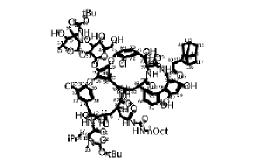 CCCCCCCCNC(=O)NC(=O)C[C@@H]1CC(=O)[C@H](NC(=O)[C@@H](CC(C)C)N(C)C(=O)OC(C)(C)C)[C@H](O)c2ccc(c(Cl)c2)Oc2cc3cc(c2OC2OC(CO)C(O)C(O)C2OC2CC(C)(NC(=O)OC(C)(C)C)C(O)C(C)O2)Oc2ccc(cc2Cl)[C@@H](O)[C@@H]2NC(=O)[C@H](CC(=O)[C@@H]3NC1=O)c1ccc(O)c(c1)-c1c(O)cc(O)cc1[C@@H](C(=O)CC1C3CC4CC(C3)CC1C4)NC2=O